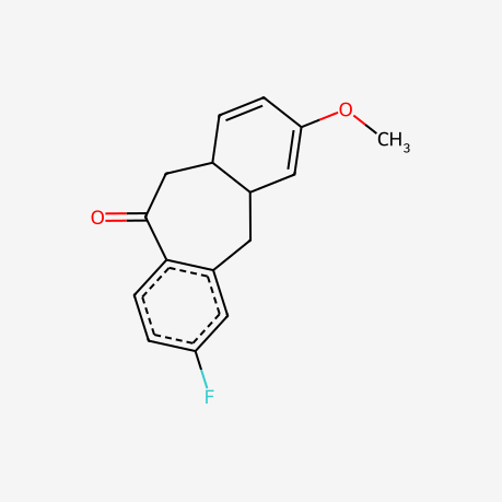 COC1=CC2Cc3cc(F)ccc3C(=O)CC2C=C1